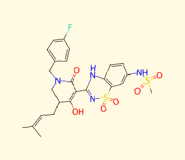 CC(C)=CCC1CN(Cc2ccc(F)cc2)C(=O)C(C2=NS(=O)(=O)c3cc(NS(C)(=O)=O)ccc3N2)=C1O